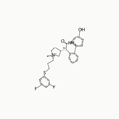 C[N@@+]1(CCCSc2cc(F)cc(F)c2)CCC([C@H](C(N)=O)c2ccccc2-c2ccc(O)cc2)C1